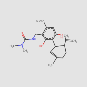 C=C(C)C1CCC(C)=CC1c1c(O)cc(CCCCC)c(CNC(=O)N(C)C)c1O